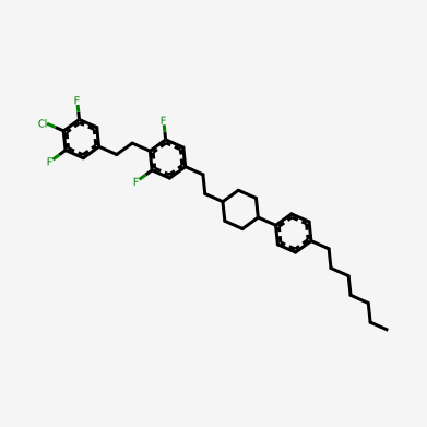 CCCCCCCc1ccc(C2CCC(CCc3cc(F)c(CCc4cc(F)c(Cl)c(F)c4)c(F)c3)CC2)cc1